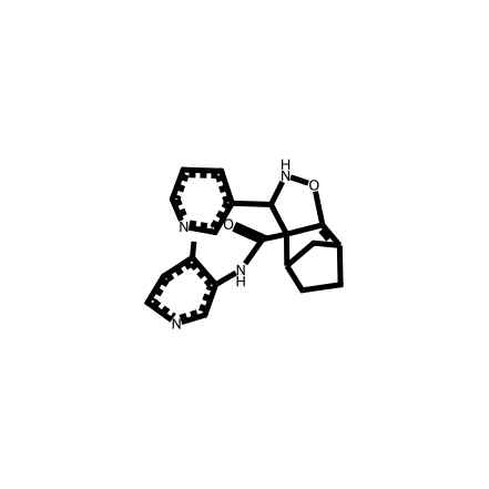 Cc1ccncc1NC(=O)C12C(=C3CCC1C3)ONC2c1cccnc1